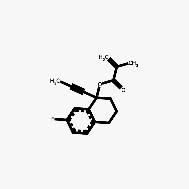 C=C(C)C(=O)OC1(C#CC)CCCc2ccc(F)cc21